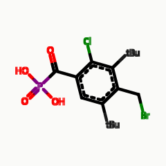 CC(C)(C)c1cc(C(=O)P(=O)(O)O)c(Cl)c(C(C)(C)C)c1CBr